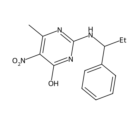 CCC(Nc1nc(C)c([N+](=O)[O-])c(O)n1)c1ccccc1